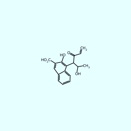 C=CC(=O)C(c1c(O)c(C(=O)O)cc2ccccc12)C(C)O